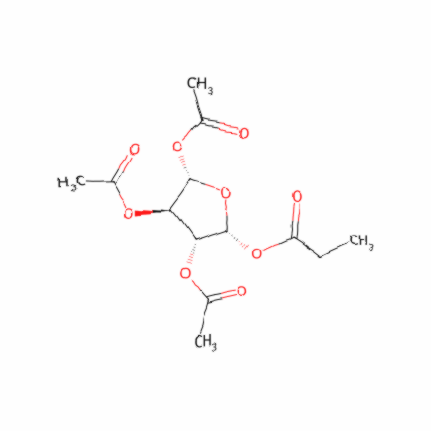 CCC(=O)O[C@H]1O[C@@H](OC(C)=O)[C@H](OC(C)=O)[C@H]1OC(C)=O